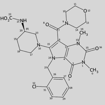 Cn1c(=O)c2c(c(C(=O)N3CCOCC3)c(N3CCC[C@@H](NC(=O)O)C3)n2Cc2ccccc2Cl)n(C)c1=O